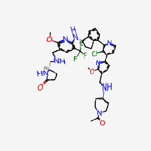 COc1nc(-c2ccnc(-c3cccc4c3CC[C@@H]4Nc3nc(OC)c(CNC[C@@H]4CCC(=O)N4)cc3C(F)(F)F)c2Cl)ccc1CNC1CCN(C(C)=O)CC1